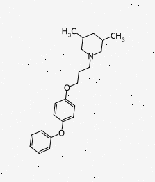 CC1CC(C)CN(CCCOc2ccc(Oc3ccccc3)cc2)C1